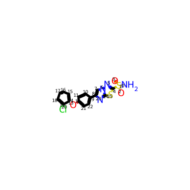 NS(=O)(=O)c1nn2cc(-c3ccc(Oc4ccccc4Cl)cc3)nc2s1